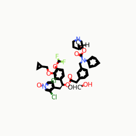 O=C(Cc1cccc(CN(C(=O)O[C@H]2CN3CCC2CC3)c2ccccc2)c1)O[C@@H](Cc1c(Cl)c[n+]([O-])cc1Cl)c1ccc(OC(F)F)c(OCC2CC2)c1.O=CO